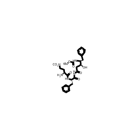 CC(C)(C)OC(=O)N[C@@H](Cc1ccccc1)[C@@H](O)CC(=O)NC(=O)[C@H](Cc1ccccc1)NC(=O)[C@@H](N)CCC(=O)O